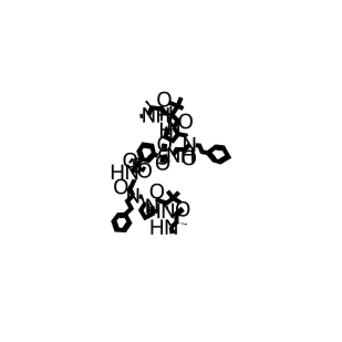 CN[C@@H](C)C(=O)N[C@H](C(=O)N1CCCC1CN(CCc1ccccc1)C(=O)CNS(=O)(=O)c1cccc(S(=O)(=O)NCC(=O)N(CCc2ccccc2)C[C@@H]2CCCN2C(=O)[C@@H](NC(=O)[C@H](C)NC)C(C)(C)C)c1)C(C)(C)C